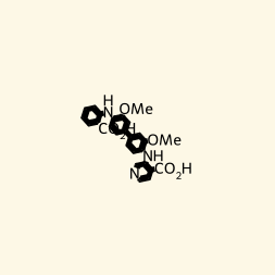 COc1cc(-c2ccc(Nc3cnccc3C(=O)O)c(OC)c2)ccc1Nc1ccccc1C(=O)O